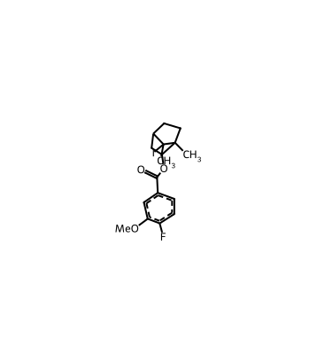 COc1cc(C(=O)OC2CC3CCC2(C)C3(C)I)ccc1F